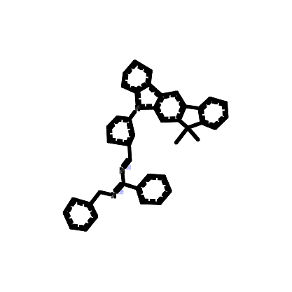 CC1(C)c2ccccc2-c2cc3c4ccccc4n(-c4cccc(/C=N/C(=N\Cc5ccccc5)c5ccccc5)c4)c3cc21